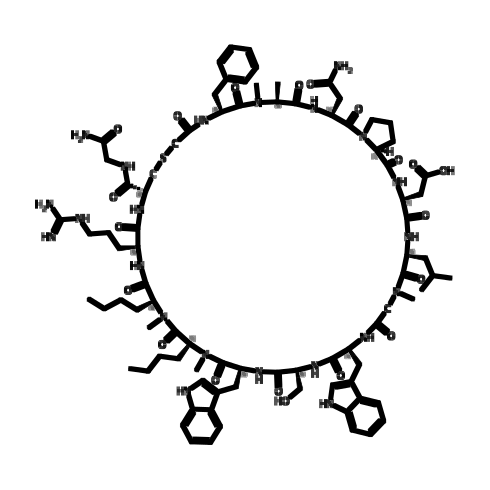 CCCC[C@H]1C(=O)N(C)[C@@H](CCCC)C(=O)N[C@@H](CCCNC(=N)N)C(=O)N[C@H](C(=O)NCC(N)=O)CSCC(=O)N[C@@H](Cc2ccccc2)C(=O)N(C)[C@@H](C)C(=O)N[C@@H](CC(N)=O)C(=O)N2CCC[C@H]2C(=O)N[C@@H](CC(=O)O)C(=O)N[C@@H](CC(C)C)C(=O)N(C)CC(=O)N[C@@H](Cc2c[nH]c3ccccc23)C(=O)N[C@@H](CO)C(=O)N[C@@H](Cc2c[nH]c3ccccc23)C(=O)N1C